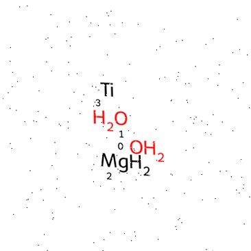 O.O.[MgH2].[Ti]